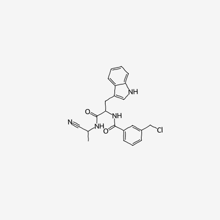 CC(C#N)NC(=O)C(Cc1c[nH]c2ccccc12)NC(=O)c1cccc(CCl)c1